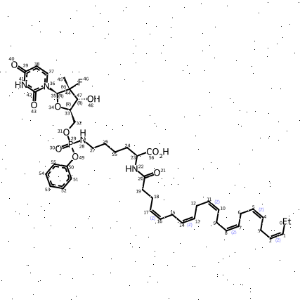 CC/C=C\C/C=C\C/C=C\C/C=C\C/C=C\C/C=C\CCC(=O)NC(CCCCNP(=O)(OC[C@H]1O[C@@H](n2ccc(=O)[nH]c2=O)[C@](C)(F)[C@@H]1O)Oc1ccccc1)C(=O)O